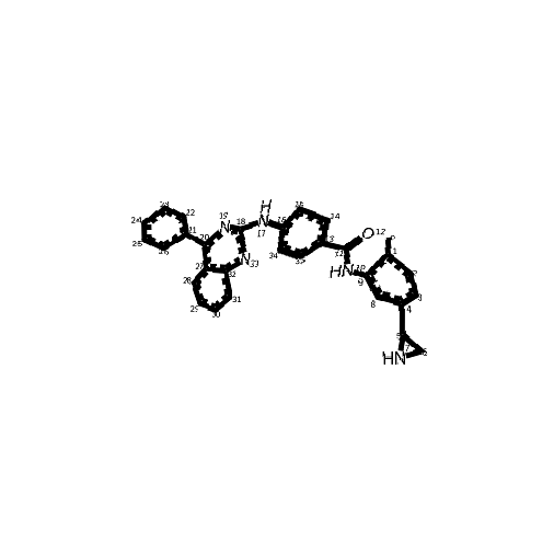 Cc1ccc(C2CN2)cc1NC(=O)c1ccc(Nc2nc(-c3ccccc3)c3ccccc3n2)cc1